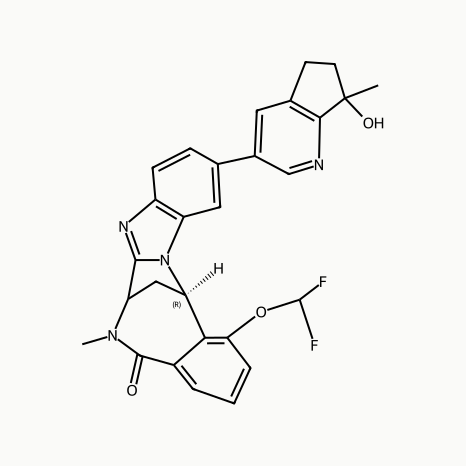 CN1C(=O)c2cccc(OC(F)F)c2[C@H]2CC1c1nc3ccc(-c4cnc5c(c4)CCC5(C)O)cc3n12